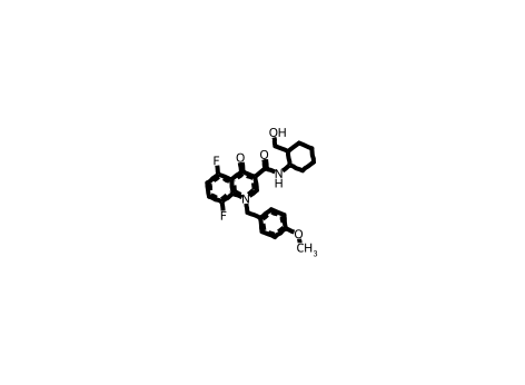 COc1ccc(Cn2cc(C(=O)NC3CCCCC3CO)c(=O)c3c(F)ccc(F)c32)cc1